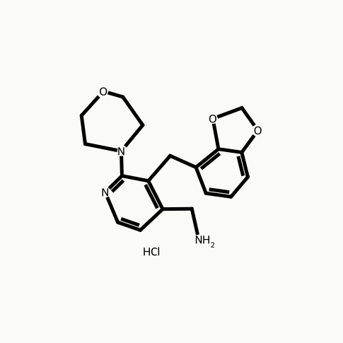 Cl.NCc1ccnc(N2CCOCC2)c1Cc1cccc2c1OCO2